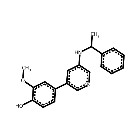 COc1cc(-c2cncc(NC(C)c3ccccc3)c2)ccc1O